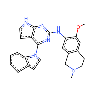 COc1cc2c(cc1Nc1nc(-n3ccc4ccccc43)c3cc[nH]c3n1)CN(C)CC2